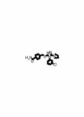 NC(=O)c1ccc(CSc2nnc(N3CCCC3)n2-c2cccc(Cl)c2)cc1